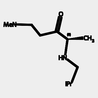 CNCCC(=O)[C@@H](C)NCC(C)C